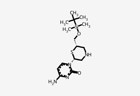 CC(C)(C)[Si](C)(C)OC[C@@H]1CNC[C@H](n2ccc(N)nc2=O)S1